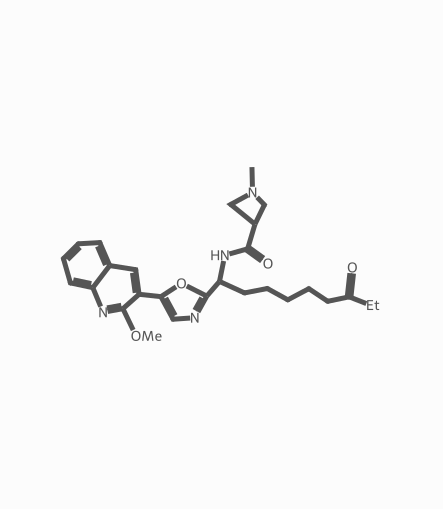 CCC(=O)CCCCCC(NC(=O)C1CN(C)C1)c1ncc(-c2cc3ccccc3nc2OC)o1